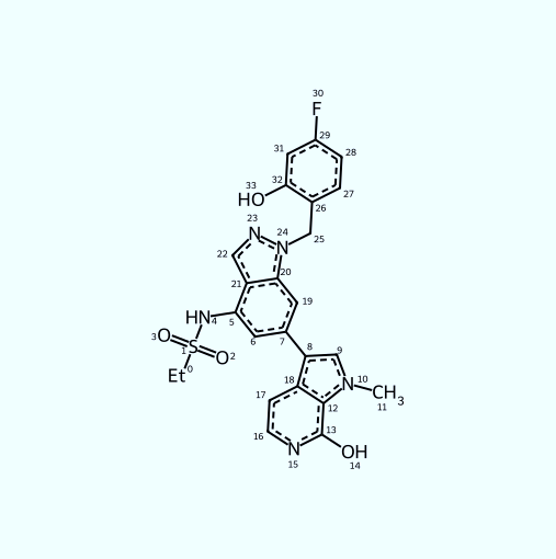 CCS(=O)(=O)Nc1cc(-c2cn(C)c3c(O)nccc23)cc2c1cnn2Cc1ccc(F)cc1O